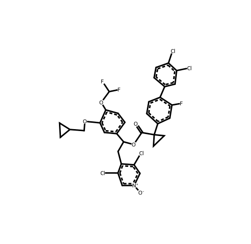 O=C(OC(Cc1c(Cl)c[n+]([O-])cc1Cl)c1ccc(OC(F)F)c(OCC2CC2)c1)C1(c2ccc(-c3ccc(Cl)c(Cl)c3)c(F)c2)CC1